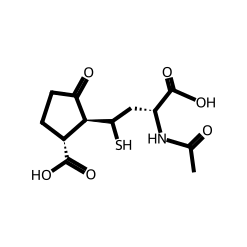 CC(=O)N[C@H](CC(S)[C@@H]1C(=O)CC[C@H]1C(=O)O)C(=O)O